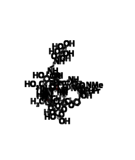 CCCCCc1ccc(CNC2(C)C[C@H](OCC3(O)C[C@H](Oc4c5cc6cc4Oc4ccc(cc4Cl)[C@@H](O)[C@@H](NC(=O)[C@@H](CC(C)C)NC)C(=O)NC(CC(N)=O)C(=O)N[C@H]6C(=O)N[C@H]4C(=O)N[C@H](C(=O)N[C@H](C(=O)O)c6cc(O)c(CNCCCNC(=O)[C@H](O)[C@@H](O)[C@H](O)[C@H](O)CO)c(O)c6-c6cc4ccc6O)[C@H](O)c4ccc(c(Cl)c4)O5)O[C@H](CO)C3O)C[C@@H](C)[C@H]2O)cc1